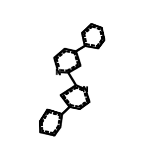 c1ccc(-c2ccnc(-c3cc(-c4ccccc4)ccn3)c2)cc1